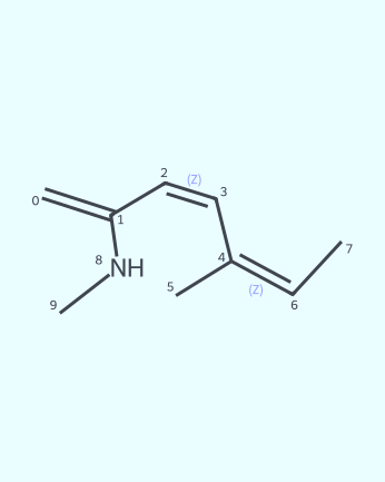 C=C(/C=C\C(C)=C/C)NC